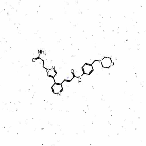 NC(=O)CCn1cc(-c2ccncc2/C=C/C(=O)Nc2ccc(CN3CCOCC3)cc2)cn1